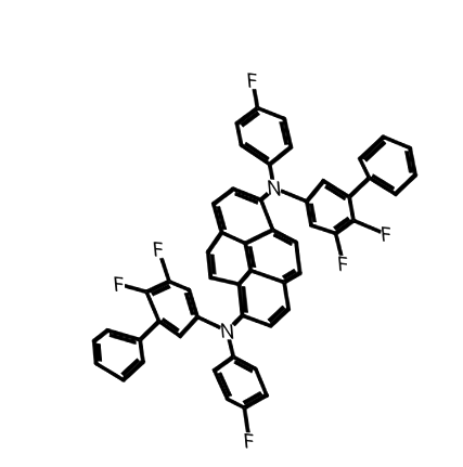 Fc1ccc(N(c2cc(F)c(F)c(-c3ccccc3)c2)c2ccc3ccc4c(N(c5ccc(F)cc5)c5cc(F)c(F)c(-c6ccccc6)c5)ccc5ccc2c3c54)cc1